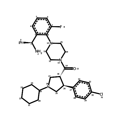 CC(C)[C@H](N)c1cccc(F)c1N1CCN(C(=O)[C@H]2CN(C3CCCCC3)C[C@@H]2c2ccc(Cl)cc2)CC1